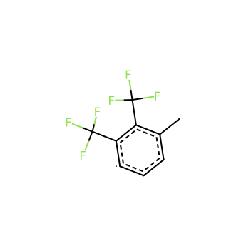 Cc1cc[c]c(C(F)(F)F)c1C(F)(F)F